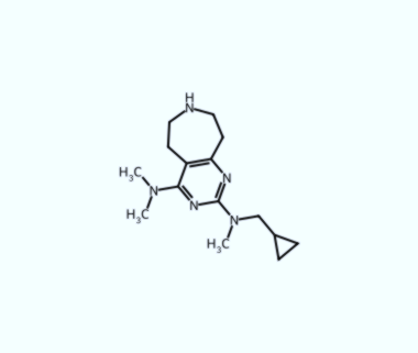 CN(C)c1nc(N(C)CC2CC2)nc2c1CCNCC2